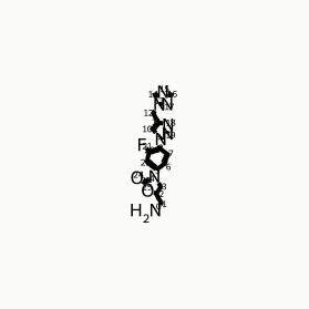 NCC1CN(c2ccc(-n3cc(Cn4cncn4)nn3)c(F)c2)C(=O)O1